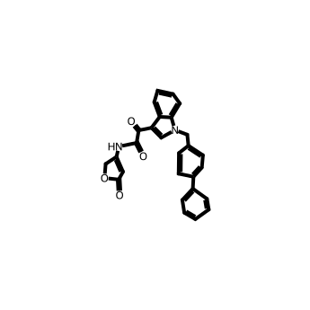 O=C1C=C(NC(=O)C(=O)c2cn(Cc3ccc(-c4ccccc4)cc3)c3ccccc23)CO1